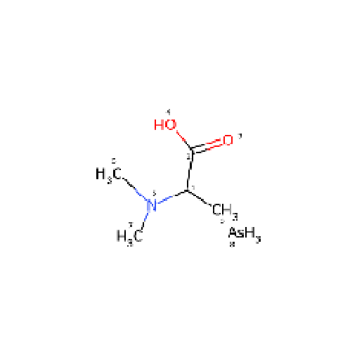 CC(C(=O)O)N(C)C.[AsH3]